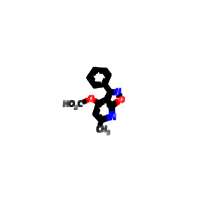 Cc1cc(OC(=O)O)c2c(-c3ccccc3)noc2n1